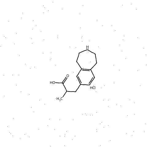 CC(Cc1ccc2c(c1)CCNCC2)C(=O)O.Cl